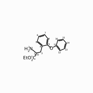 CCOC(=O)[C@@H](N)Cc1ccccc1Oc1ccccc1